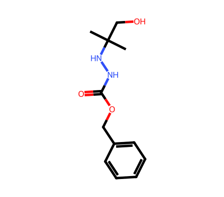 CC(C)(CO)NNC(=O)OCc1ccccc1